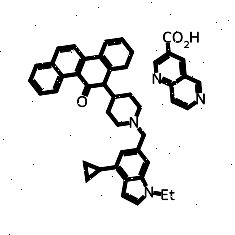 CCn1ccc2c(C3CC3)cc(CN3CCC(C4C(=O)c5c(ccc6ccccc56)C5=C4CCC=C5)CC3)cc21.O=C(O)c1cnc2ccncc2c1